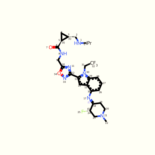 CC(C)NC[C@H]1C[C@@H]1C(=O)NCc1nc(-c2cc3c(/N=C4\CCN(C)C[C@@H]4F)cccc3n2CC(F)(F)F)no1